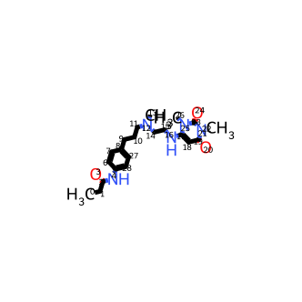 CCC(=O)Nc1ccc(CCCN(C)CCNc2cc(=O)n(C)c(=O)n2C)cc1